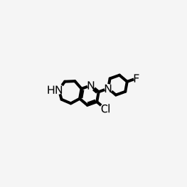 FC1CCN(c2nc3c(cc2Cl)CCNCC3)CC1